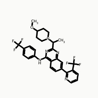 COC1CCN(C(C)c2nc(Nc3ccc(C(F)(F)F)cc3)c3ccc(-c4ncccc4C(F)(F)F)cc3n2)CC1